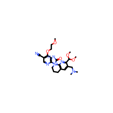 COCCOc1cc([N+]2(C(N)=O)CCCc3cc(CN(C)C)c(C(OC)OC)nc32)ncc1C#N